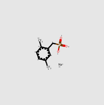 O=S(=O)([O-])Cc1cc(C(F)(F)F)ccc1C(F)(F)F.[Na+]